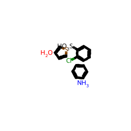 N.O.O=S(=O)(O)c1ccccc1Cl.c1ccccc1.c1ccsc1